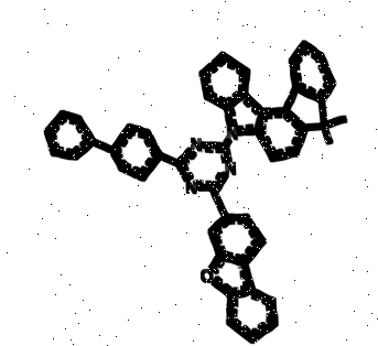 CC1(C)c2ccccc2-c2c1ccc1c2c2ccccc2n1-c1nc(-c2ccc(-c3ccccc3)cc2)nc(-c2ccc3c(c2)oc2ccccc23)n1